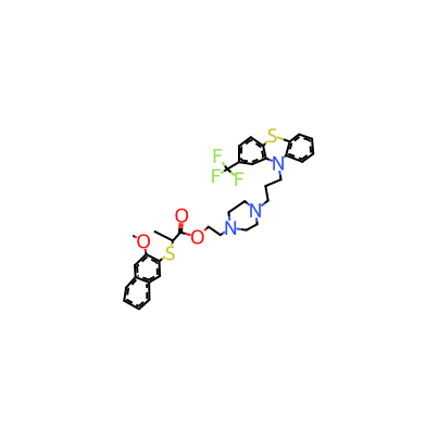 COc1cc2ccccc2cc1SC(C)C(=O)OCCN1CCN(CCCN2c3ccccc3Sc3ccc(C(F)(F)F)cc32)CC1